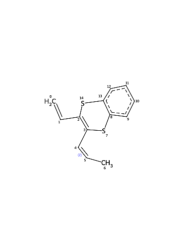 C=CC1=C(/C=C\C)Sc2ccccc2S1